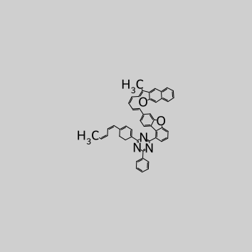 C/C=C\C=C/C1=CC=C(c2nc(-c3ccccc3)nc(-c3cccc4oc5cc(/C=C/C=C\c6oc7cc8ccccc8cc7c6C)ccc5c34)n2)CC1